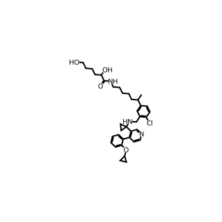 CC(CCCCCNC(=O)C(O)CCCCO)c1ccc(Cl)c(CNC2(c3cnccc3-c3ccccc3OC3CC3)CC2)c1